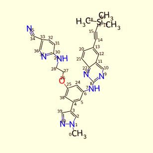 Cn1cc(-c2cc(Nc3ncc4cc(C#C[Si](C)(C)C)ccc4n3)cc(OCCNc3ccc(C#N)cn3)c2)cn1